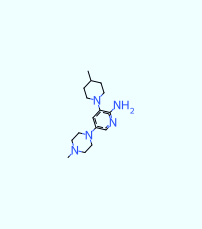 CC1CCN(c2cc(N3CCN(C)CC3)cnc2N)CC1